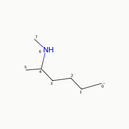 [CH2]CCCC(C)NC